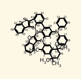 Cc1cc2c(cc1N1c3cc(N(c4ccccc4)c4ccccc4)cc4c3B(c3oc5ccccc5c31)n1c3c-4cccc3c3sc4ccccc4c31)C(C)(C)CCC2(C)C